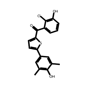 Cc1cc(-c2ccc(C(=O)c3cccc(O)c3Cl)s2)cc(C)c1O